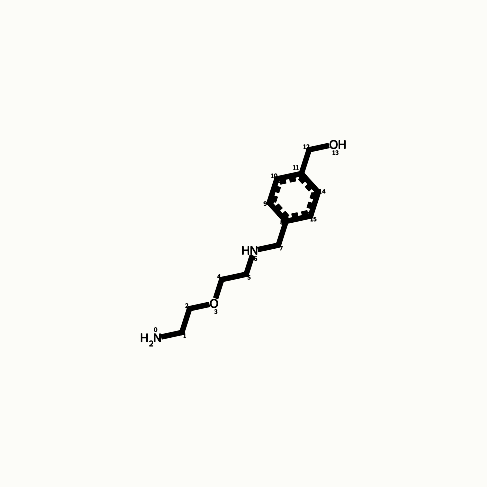 NCCOCCNCc1ccc(CO)cc1